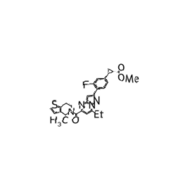 CCc1cc(C(=O)N2CCc3sccc3[C@H]2C)nc2cc(-c3ccc([C@H]4C[C@@H]4C(=O)OC)cc3F)nn12